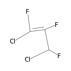 F/C(Cl)=C(\F)C(F)Cl